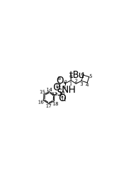 CC(C)(C)[C@@H](CC1CCC1)C(=O)NS(=O)(=O)c1ccccc1